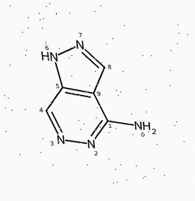 Nc1nncc2[nH]ncc12